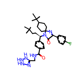 CC(C)(C)CC[C@H](c1ccc(C(=O)NCC2=NNNN2)cc1)N1C(=O)C(c2ccc(F)cc2)=NC12CCC(C(C)(C)C)CC2